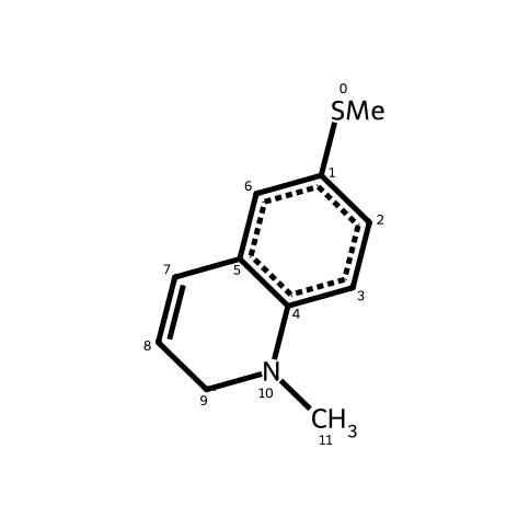 CSc1ccc2c(c1)C=C[CH]N2C